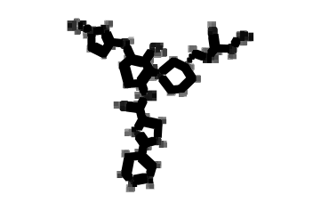 Cn1ccc(Oc2ccc(NC(=O)c3csc(-c4ccnnc4)n3)c(N3CCC[C@@H](CNC(=O)OC(C)(C)C)C3)c2C(F)(F)F)n1